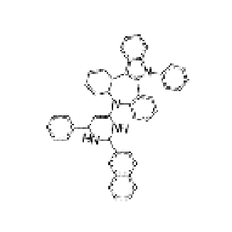 C1=CC2c3c(n(-c4ccccc4)c4ccccc34)-c3ccccc3N(C3=CC(c4ccccc4)NC(c4ccc5ccccc5c4)N3)C2C=C1